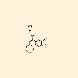 CS(=O)(=O)c1ccc(/C(=C\C2CCCCCC2)C(=O)Nc2nccs2)cc1C(F)(F)F